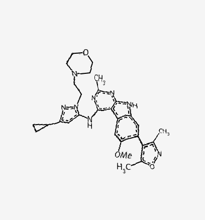 COc1cc2c(cc1-c1c(C)noc1C)[nH]c1nc(C)nc(Nc3cc(C4CC4)nn3CCN3CCOCC3)c12